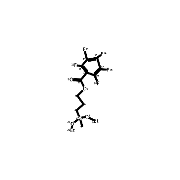 CCO[Si](C)(CCCOC(=O)c1c(F)c(F)c(F)c(F)c1F)OCC